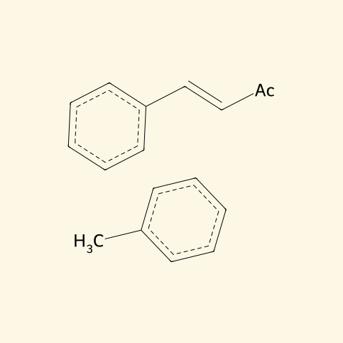 CC(=O)C=Cc1ccccc1.Cc1ccccc1